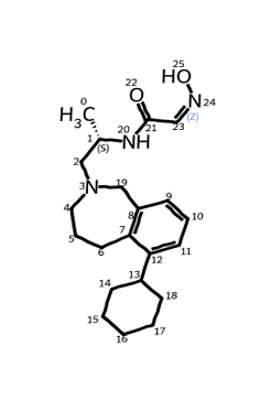 C[C@@H](CN1CCCc2c(cccc2C2CCCCC2)C1)NC(=O)/C=N\O